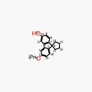 CC(C)Oc1ccc(C2(c3ccc(O)cc3)CCCC2)cc1